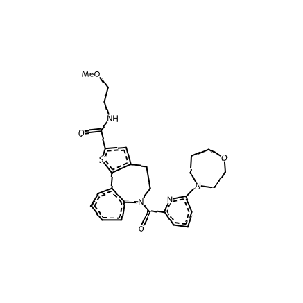 COCCNC(=O)c1cc2c(s1)-c1ccccc1N(C(=O)c1cccc(N3CCCOCC3)n1)CC2